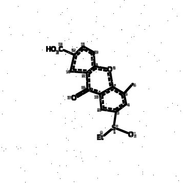 CC[S+]([O-])c1cc(C)c2oc3ccc(C(=O)O)cc3c(=O)c2c1